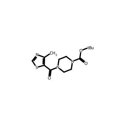 Cc1ncsc1C(=O)N1CCN(C(=O)OC(C)(C)C)CC1